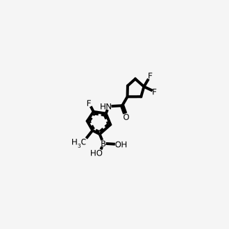 Cc1cc(F)c(NC(=O)C2CCC(F)(F)C2)cc1B(O)O